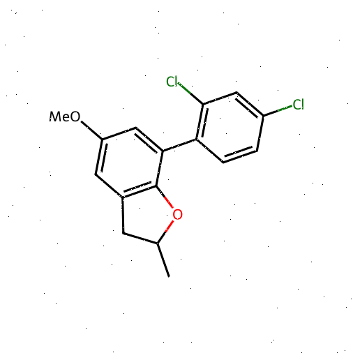 COc1cc2c(c(-c3ccc(Cl)cc3Cl)c1)OC(C)C2